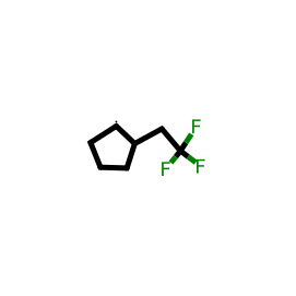 FC(F)(F)CC1[CH]CCC1